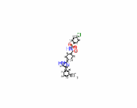 O=C(NS(=O)(=O)c1ccc(Cl)cc1)C1CCC(c2nc(-c3cccc(C(F)(F)F)c3)c[nH]2)CC1